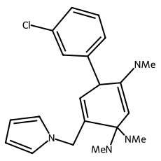 CNC1=CC(NC)(NC)C(Cn2cccc2)=CC1c1cccc(Cl)c1